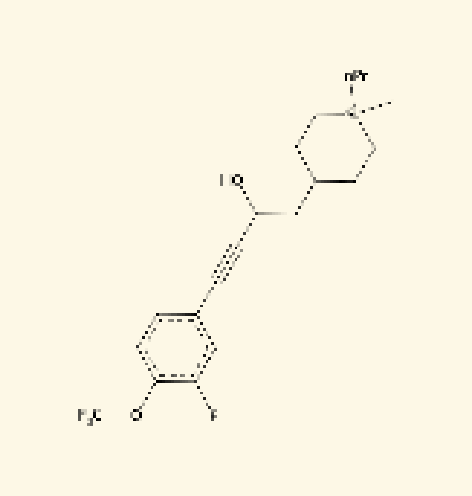 CCC[Si]1(C)CCC(CC(O)C#Cc2ccc(OC(F)(F)F)c(F)c2)CC1